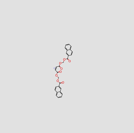 O=C(/C=C\C(=O)OCOC(=O)c1ccc2ccccc2c1)OCOC(=O)c1ccc2ccccc2c1